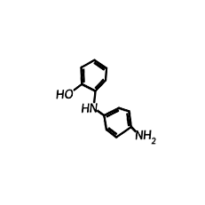 Nc1ccc(Nc2ccccc2O)cc1